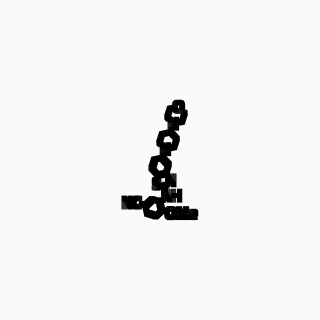 COc1ccc(C#N)cc1Nc1nc2cc(N3CCC(N4CCOCC4)CC3)ccc2s1